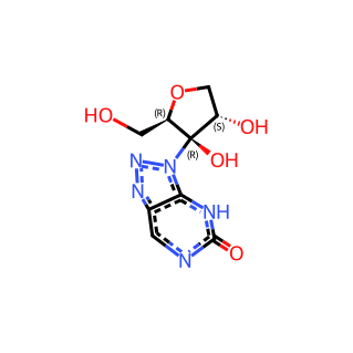 O=c1ncc2nnn([C@@]3(O)[C@@H](O)CO[C@@H]3CO)c2[nH]1